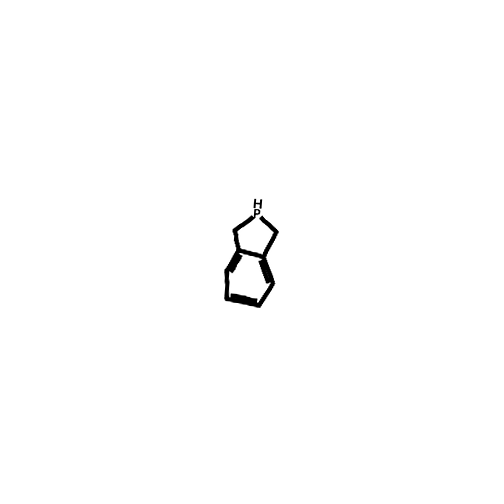 c1ccc2c(c1)CPC2